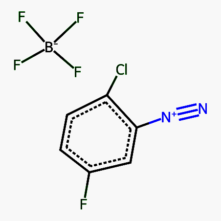 F[B-](F)(F)F.N#[N+]c1cc(F)ccc1Cl